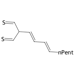 CCCCCC=CC=CC(C=S)C=S